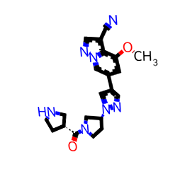 COc1cc(-c2cnn([C@H]3CCN(C(=O)[C@@H]4CCNC4)C3)c2)cn2ncc(C#N)c12